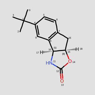 CC(C)(C)c1ccc2c(c1)[C@@H]1NC(=O)O[C@@H]1C2